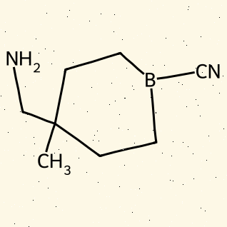 CC1(CN)CCB(C#N)CC1